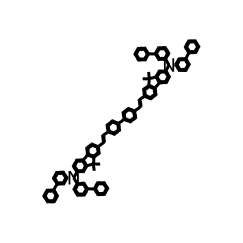 CC1(C)c2cc(/C=C/c3ccc(-c4ccc(/C=C/c5ccc6c(c5)C(C)(C)c5cc(N(c7cccc(-c8ccccc8)c7)c7cccc(-c8ccccc8)c7)ccc5-6)cc4)cc3)ccc2-c2ccc(N(c3cccc(-c4ccccc4)c3)c3cccc(-c4ccccc4)c3)cc21